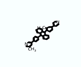 Cc1cncc(-c2ccc(-c3c4ccccc4c(-c4ccc(-c5ccncc5)cc4C)c4ccccc34)cc2)c1